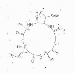 C=C1CNC(=O)[C@@H](C(C)C)NC(=O)C2/C(=C/CC)[C@@H]2OC(=O)[C@H](C(C)C)NC(=O)C(C(C)SC)N1